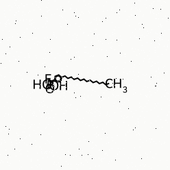 CCCCCCCCCCCCCCCc1ccc(C(F)P(=O)(O)O)cc1